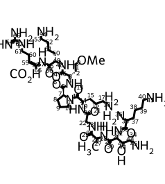 COCC[C@H](NC(=O)[C@@H]1CCCN1C(=O)[C@@H](CCCN)NC(=O)CNC(=O)C(C)NC(=O)[C@@H](NC(=O)C(N)CCCCN)[C@@H](O)CN)C(=O)N[C@@H](CCCCN)C(=O)N/C(=C\CCNC(=N)N)C(=O)O